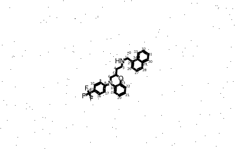 C[C@@H](NCCC1CN(c2ccc(C(F)(F)F)cc2)c2ccccc2O1)c1cccc2ccccc12